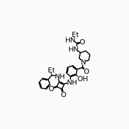 CCNC(=O)NC1CCCN(C(=O)c2cccc(Nc3c(N[C@H](CC)c4ccccc4)c(=O)c3=O)c2O)C1